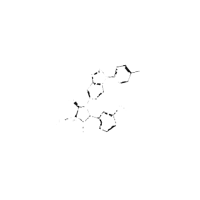 Cc1cccc(C2[C@@H](N)[C@@H](C)C(=O)N2c2ccc3c(cnn3-c3ccc(F)cc3)c2)c1